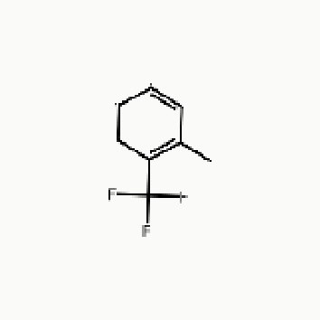 CC1=C(C(F)(F)F)C[C][C]=C1